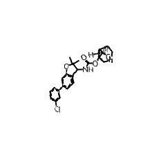 CC1(C)Oc2cc(-c3cccc(Cl)c3)ccc2C1NC(=O)O[C@H]1CN2CCC1CC2